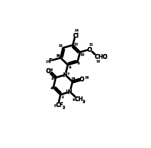 Cn1c(C(F)(F)F)cc(=O)n(-c2cc(OC=O)c(Cl)cc2F)c1=O